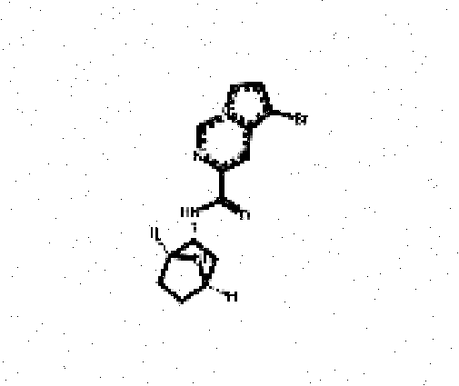 O=C(N[C@@H]1C[C@H]2CC[C@@H]1N2)c1cc2c(Br)ccn2cn1